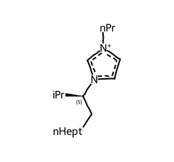 CCCCCCCC[C@@H](C(C)C)n1cc[n+](CCC)c1